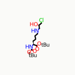 CC(C)(C)OC(=O)N[C@@H](CCCCNC[C@H](O)CCl)C(=O)OC(C)(C)C